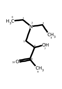 CCN(CC)CC(O)C(C)=O